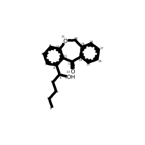 CCCCC(O)c1cccc2c1C(=O)c1ccccc1CO2